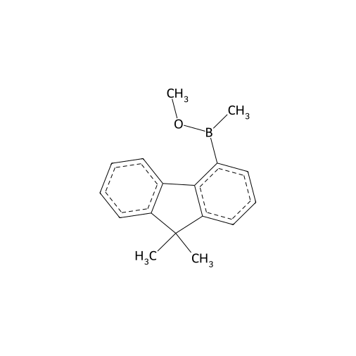 COB(C)c1cccc2c1-c1ccccc1C2(C)C